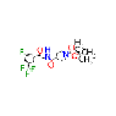 CC(C)(C)OC(=O)N1CCC(C(=O)NCC(=O)c2cc(F)cc(C(F)(F)F)c2)CC1